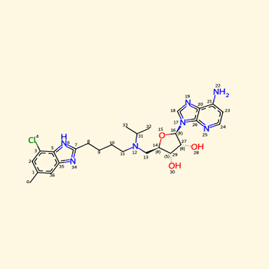 Cc1cc(Cl)c2[nH]c(CCCCN(C[C@H]3O[C@@H](n4cnc5c(N)ccnc54)[C@H](O)[C@@H]3O)C(C)C)nc2c1